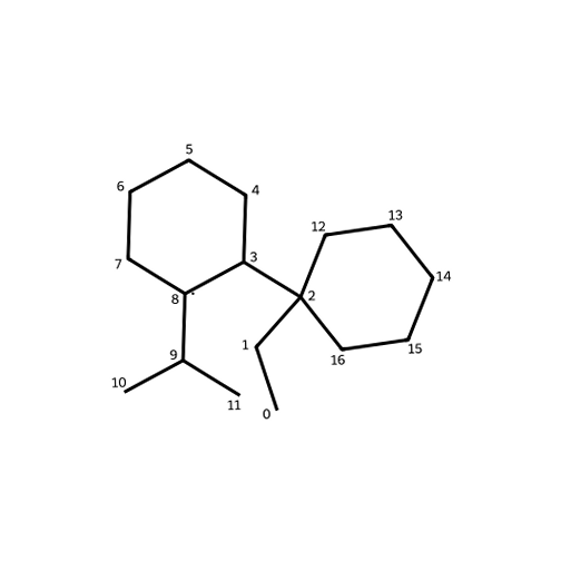 CCC1(C2CCCC[C]2C(C)C)CCCCC1